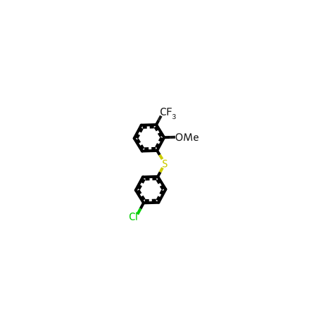 COc1c(Sc2ccc(Cl)cc2)cccc1C(F)(F)F